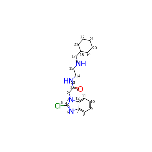 O=C(Cn1c(Cl)nc2ccccc21)NCCNCC1CCCCC1